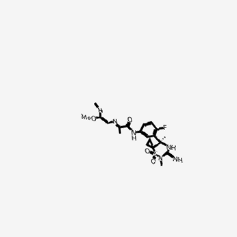 C=N/C(=C\N=C(/C)C(=O)Nc1ccc(F)c([C@@]2(C)NC(=N)N(C)S(=O)(=O)C23CC3)c1)OC